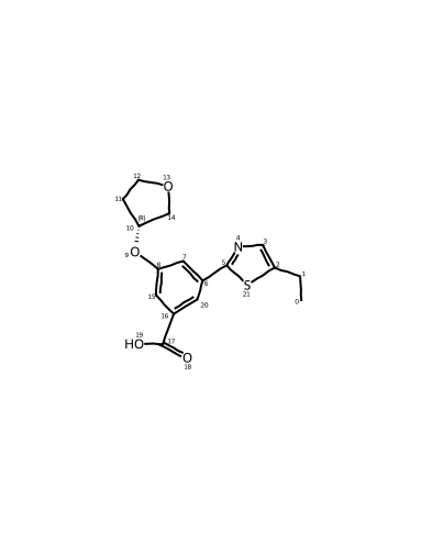 CCc1cnc(-c2cc(O[C@@H]3CCOC3)cc(C(=O)O)c2)s1